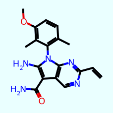 C=Cc1ncc2c(C(N)=O)c(N)n(-c3c(C)ccc(OC)c3C)c2n1